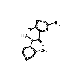 Cc1c[c]ccc1N(C)C(=O)c1cc(N)ccc1Cl